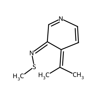 CS/N=C1/C=NC=CC1=C(C)C